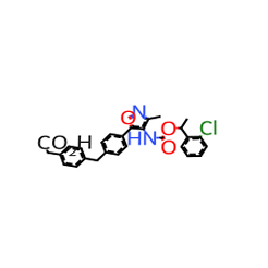 Cc1noc(-c2ccc(Cc3ccc(CC(=O)O)cc3)cc2)c1NC(=O)OC(C)c1ccccc1Cl